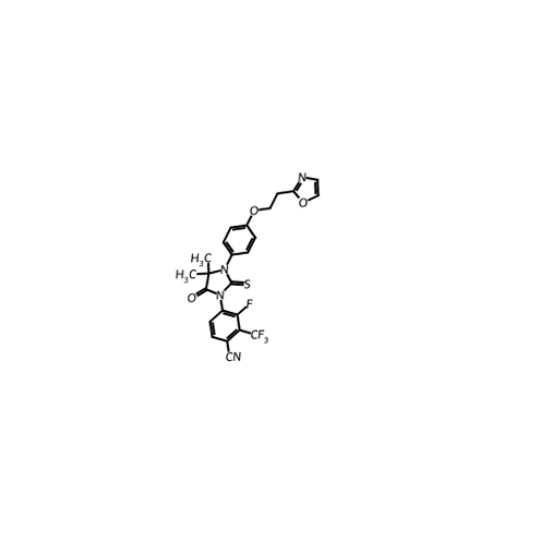 CC1(C)C(=O)N(c2ccc(C#N)c(C(F)(F)F)c2F)C(=S)N1c1ccc(OCCc2ncco2)cc1